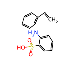 C=Cc1ccccc1.Nc1ccccc1S(=O)(=O)O